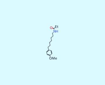 CCC(=O)NCCCCCCCc1ccc(OC)cc1